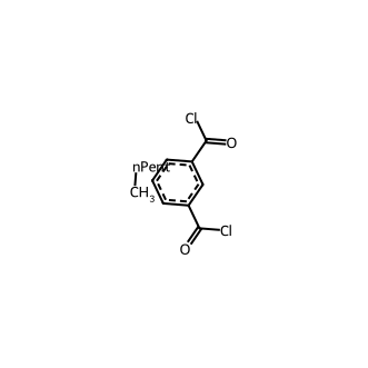 CCCCCC.O=C(Cl)c1cccc(C(=O)Cl)c1